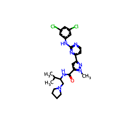 CC(C)C(CN1CCCC1)NC(=O)c1cc(-c2ccnc(Nc3cc(Cl)cc(Cl)c3)n2)nn1C